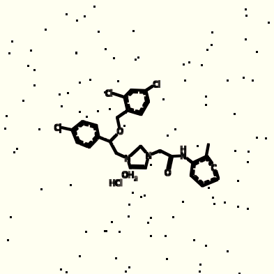 Cc1ccccc1NC(=O)CN1C=CN(CC(OCc2ccc(Cl)cc2Cl)c2ccc(Cl)cc2)C1.Cl.O